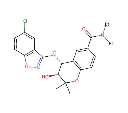 CCN(CC)C(=O)c1ccc2c(c1)[C@@H](Nc1noc3ccc(Cl)cc13)[C@H](O)C(C)(C)O2